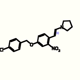 O=[N+]([O-])c1cc(OCc2ccc(Cl)cc2)ccc1/C=C/N1CCCC1